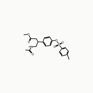 COC(=O)CC(CNC(C)=O)c1ccc(OS(=O)(=O)c2ccc(C)cc2)cc1